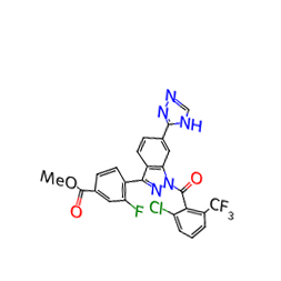 COC(=O)c1ccc(-c2nn(C(=O)c3c(Cl)cccc3C(F)(F)F)c3cc(-c4nnc[nH]4)ccc23)c(F)c1